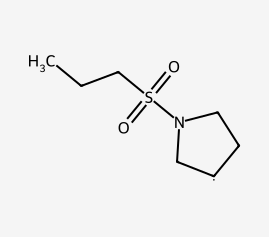 CCCS(=O)(=O)N1C[CH]CC1